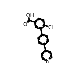 O=C(O)c1ccc(Cl)c(-c2ccc(-c3ccncc3)cc2)c1